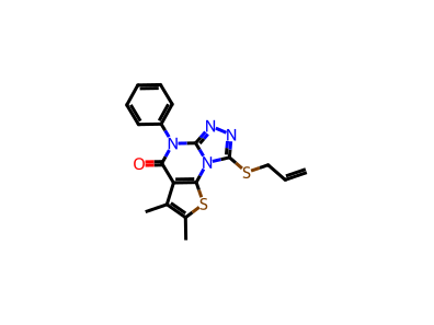 C=CCSc1nnc2n(-c3ccccc3)c(=O)c3c(C)c(C)sc3n12